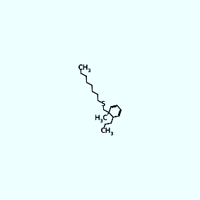 CCCCCCCCSCC1(C)C=CC=CC1CCC